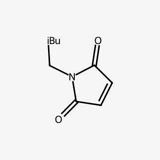 CCC(C)CN1C(=O)C=CC1=O